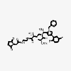 CO[C@@H](C)C(=O)N(CC[C@H](N)C(=O)NCCNC(=O)CN1C(=O)C=CC1=O)[C@@H](c1cc(-c2cc(F)ccc2F)cn1Cc1ccccc1)C(C)(C)C